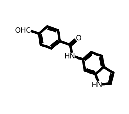 O=Cc1ccc(C(=O)Nc2ccc3cc[nH]c3c2)cc1